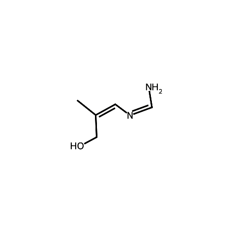 C/C(=C/N=C\N)CO